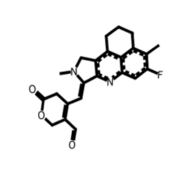 Cc1c(F)cc2nc3c(c4c2c1CCC4)CN(C)/C3=C\C1=C(C=O)COC(=O)C1